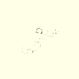 CN(C(=O)NC1CCNCC1)C1CCN(CC[C@@H](c2cc(F)cc(F)c2)C2CCN(S(C)(=O)=O)CC2)CC1